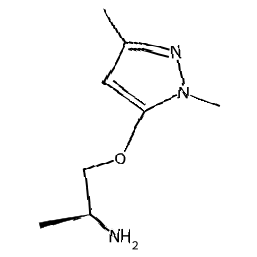 Cc1cc(OC[C@H](C)N)n(C)n1